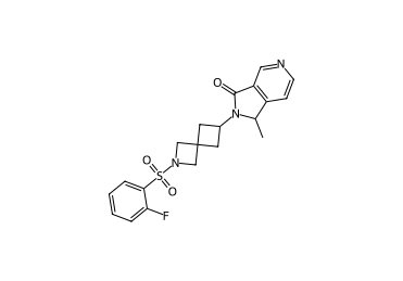 CC1c2ccncc2C(=O)N1C1CC2(C1)CN(S(=O)(=O)c1ccccc1F)C2